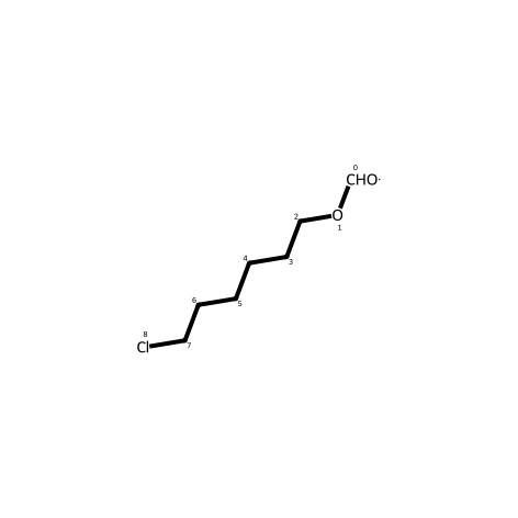 O=[C]OCCCCCCCl